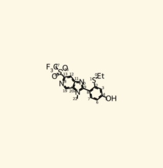 CCSc1cc(O)ccc1-c1nc2cc(S(=O)(=O)C(F)(F)F)ncc2n1C